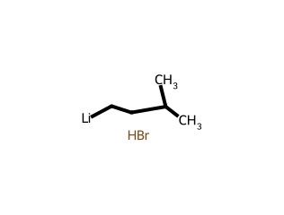 Br.[Li][CH2]CC(C)C